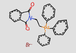 O=C1c2ccccc2C(=O)N1CC[P+](c1ccccc1)(c1ccccc1)c1ccccc1.[Br-]